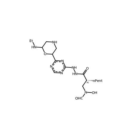 CCCCC[C@H](CN(O)C=O)C(=O)NNc1ncnc(C2CNCC(NCC)O2)n1